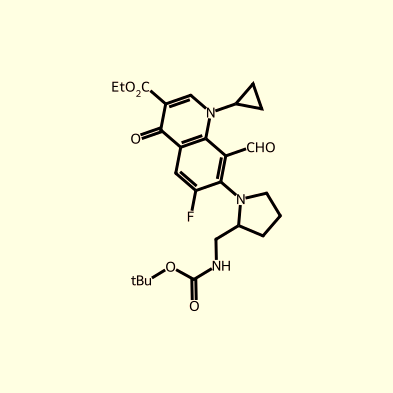 CCOC(=O)c1cn(C2CC2)c2c(C=O)c(N3CCCC3CNC(=O)OC(C)(C)C)c(F)cc2c1=O